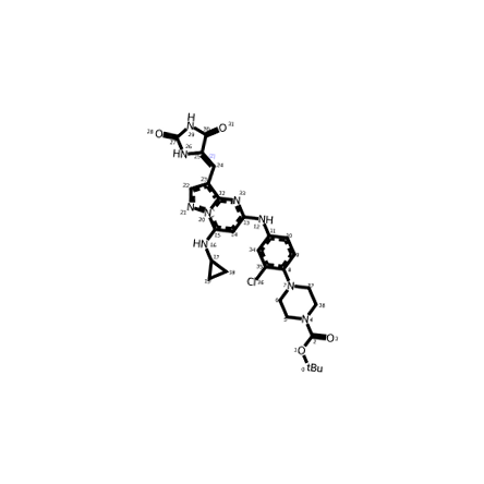 CC(C)(C)OC(=O)N1CCN(c2ccc(Nc3cc(NC4CC4)n4ncc(/C=C5\NC(=O)NC5=O)c4n3)cc2Cl)CC1